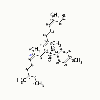 CCC(C)CC/C=C(/C)CC(C=C(C)CCC=C(C)CCl)S(=O)(=O)c1ccc(C)cc1